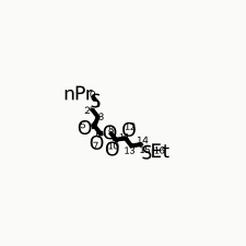 CCCSCCC(=O)C(=O)OC(=O)C(=O)CCSCC